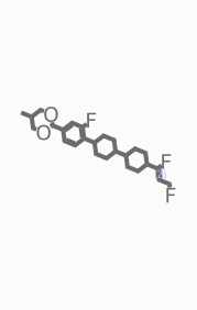 CC1COC(c2ccc(C3CCC(C4CCC(/C(F)=C/CF)CC4)CC3)c(F)c2)OC1